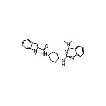 CN(C)c1nc(N[C@H]2CC[C@@H](NC(=O)c3cc4ccccc4n3C)CC2)nc2ccccc12